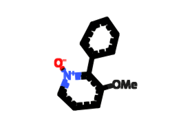 COc1ccc[n+]([O-])c1-c1ccccc1